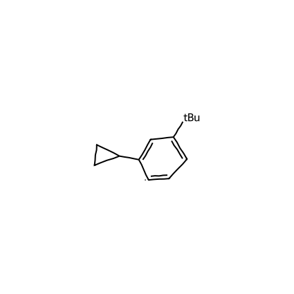 CC(C)(C)c1cc[c]c(C2CC2)c1